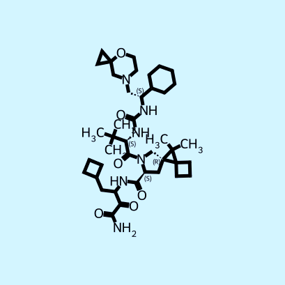 CC(C)(C)[C@H](NC(=O)N[C@H](CN1CCOC2(CC2)C1)C1CCCCC1)C(=O)N1C[C@]2(C[C@H]1C(=O)NC(CC1CCC1)C(=O)C(N)=O)C(C)(C)C21CCC1